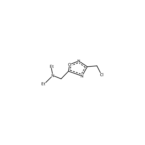 CCN(CC)Cc1nc(CCl)no1